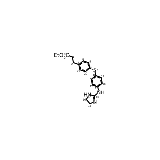 CCOC(=O)CCc1ccc(Sc2ccc(NC3=NCCN3)cc2)cc1